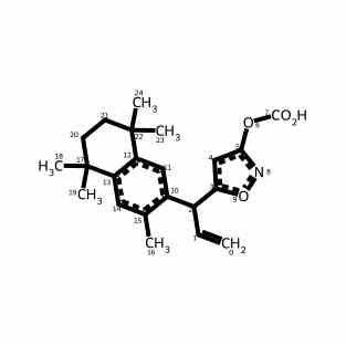 C=CC(c1cc(OC(=O)O)no1)c1cc2c(cc1C)C(C)(C)CCC2(C)C